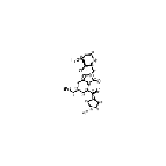 CC(C)CN1Cc2nn(Cc3nccc(C(F)(F)F)c3Cl)c(=O)n2C(C(=O)N2CC[C@H](F)C2)C1